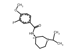 COc1ccc(C(=O)N[C@@H]2CCCN(C(C)C)C2)cc1F